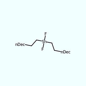 CCCCCCCCCCC[CH2][Sn]([F])([F])[CH2]CCCCCCCCCCC